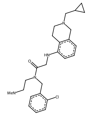 CNCCN(Cc1ccccc1Cl)C(=O)CNc1cccc2c1CCN(CC1CC1)C2